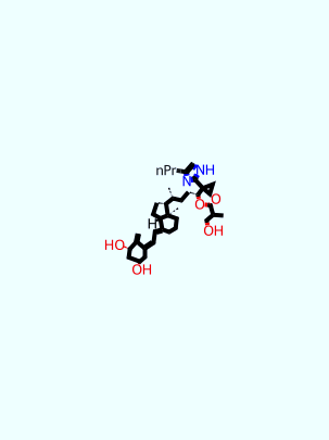 C=C1/C(=C\C=C2/CCC[C@]3(C)[C@@H]([C@H](C)CC[C@@H](OC(=O)C(C)CO)C4(c5nc(CCC)c[nH]5)CC4)CC[C@@H]23)C[C@@H](O)C[C@@H]1O